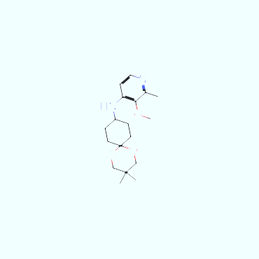 COc1c(NC2CCC3(CC2)OCC(C)(C)CO3)ccnc1C